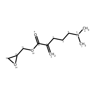 C=C(CCCN(C)C)C(=O)OCC1CO1